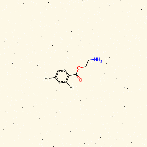 CCc1ccc(C(=O)OCCN)c(CC)c1